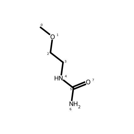 COCCNC(N)=O